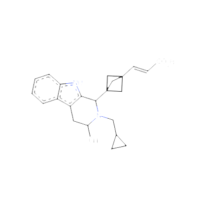 CC1Cc2c([nH]c3ccccc23)C(C23CC(/C=C/C(=O)O)(C2)C3)N1CC1CC1